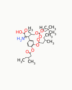 CCC(C)CC(=O)Oc1ccc(C(C(C)COC(=O)OCC(C)(C)C)[C@H](N)C(=O)O)cc1OC(=O)CC(C)CC